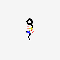 CCCN(C)S(=O)(=O)Cc1ccccc1